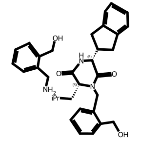 CC(C)C[C@@H]1C(=O)N[C@H](C2Cc3ccccc3C2)C(=O)N1Cc1ccccc1CO.NCc1ccccc1CO